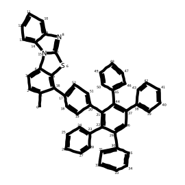 Cc1ccc2c(sc3nc4ccccc4n32)c1-c1ccc(-c2c(-c3ccccc3)c(-c3ccccc3)cc(-c3ccccc3)c2-c2ccccc2)cc1